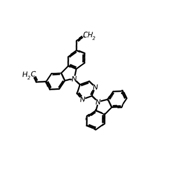 C=Cc1ccc2c(c1)c1cc(C=C)ccc1n2-c1cnc(-n2c3ccccc3c3ccccc32)nc1